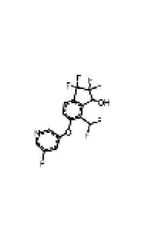 OC1c2c(ccc(Oc3cncc(F)c3)c2C(F)F)C(F)(F)C1(F)F